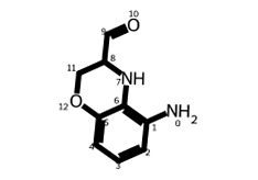 Nc1cccc2c1NC(C=O)CO2